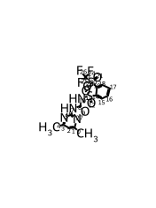 Cc1cc(C)nc(NC(=O)NS(=O)(=O)c2ccccc2S(=O)(=O)C(F)(F)F)n1